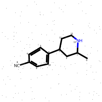 CC1CC(c2ccc(C#N)cc2)CCN1